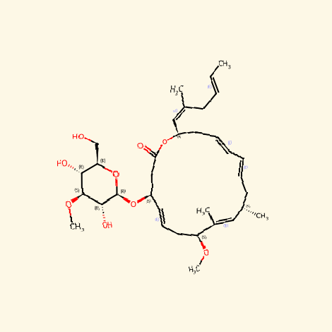 C/C=C/C/C(C)=C\[C@H]1C/C=C/C=C/C[C@H](C)/C=C(\C)[C@@H](OC)C/C=C/[C@@H](O[C@@H]2O[C@H](CO)[C@@H](O)[C@H](OC)[C@H]2O)CC(=O)O1